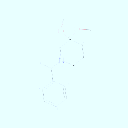 COC1(OC)CCCN(C(C)c2ccccc2)C1